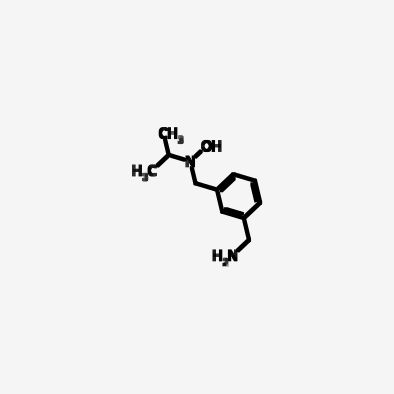 CC(C)N(O)Cc1cccc(CN)c1